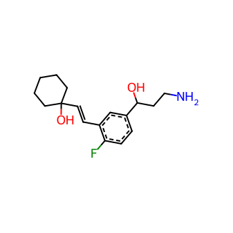 NCCC(O)c1ccc(F)c(C=CC2(O)CCCCC2)c1